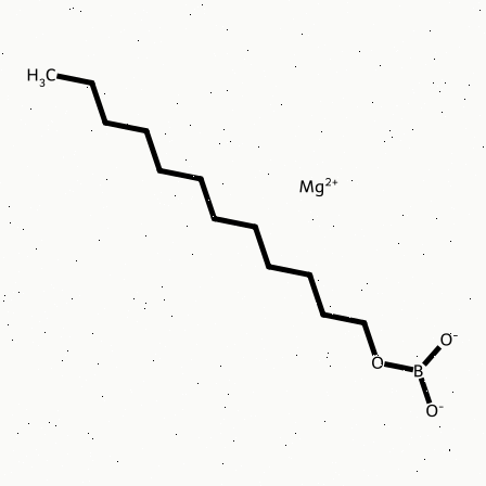 CCCCCCCCCCCCOB([O-])[O-].[Mg+2]